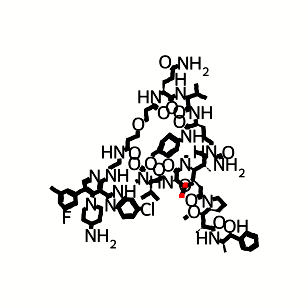 CC[C@H](C)[C@@H]([C@@H](CC(=O)N1CCC[C@H]1[C@H](OC)[C@@H](C)C(=O)N[C@H](C)[C@@H](O)c1ccccc1)OC)N(C)C(=O)[C@@H](NC(=O)[C@H](C(C)C)N(C)C(=O)OCc1ccc(NC(=O)[C@H](CCCNC(N)=O)NC(=O)[C@@H](NC(=O)[C@H](CCC(N)=O)NC(=O)CCOCCC(=O)NCCNc2ncc(-c3cc(C)cc(F)c3)c(N3CCC(N)CC3)c2-c2nc3ccc(Cl)cc3[nH]2)C(C)C)cc1)C(C)C